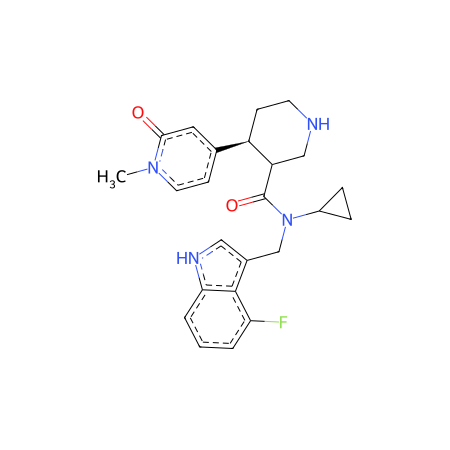 Cn1ccc([C@H]2CCNCC2C(=O)N(Cc2c[nH]c3cccc(F)c23)C2CC2)cc1=O